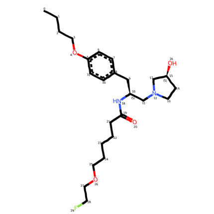 CCCCOc1ccc(C[C@@H](CN2CC[C@H](O)C2)NC(=O)CCCCCOCCF)cc1